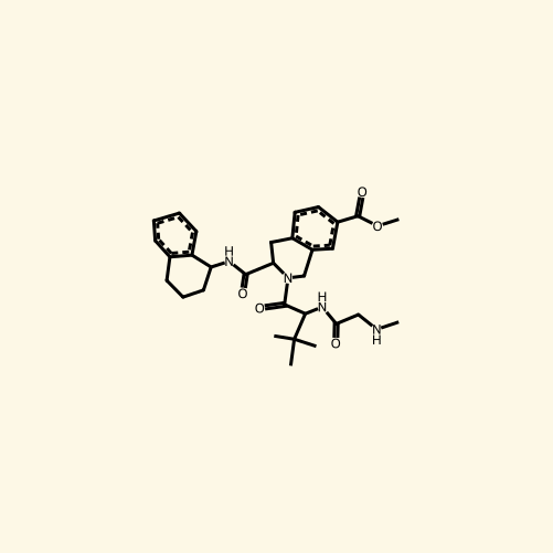 CNCC(=O)NC(C(=O)N1Cc2cc(C(=O)OC)ccc2CC1C(=O)NC1CCCc2ccccc21)C(C)(C)C